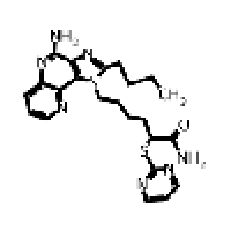 CCCCc1nc2c(N)nc3cccnc3c2n1CCCCC(Sc1ncccn1)C(N)=O